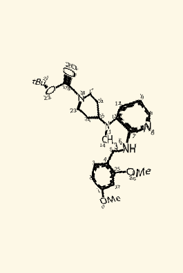 COc1ccc(CNc2ncccc2N(C)C2CCN(C(=O)OC(C)(C)C)CC2)c(OC)c1